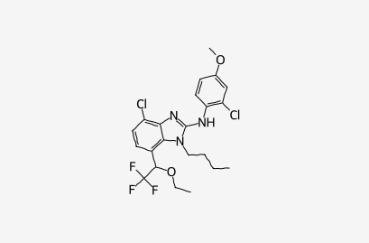 CCCCn1c(Nc2ccc(OC)cc2Cl)nc2c(Cl)ccc(C(OCC)C(F)(F)F)c21